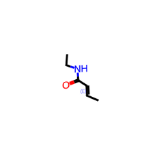 C/C=C/C(=O)NCC